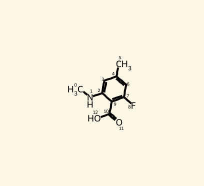 CNc1cc(C)cc(F)c1C(=O)O